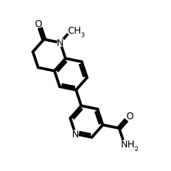 CN1C(=O)CCc2cc(-c3cncc(C(N)=O)c3)ccc21